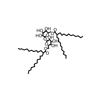 CCCCCCCCCCCC(CCCCCCCCCCC)C(=O)OCC1O[C@H](O[C@H]2OC(COC(=O)C(CCCCCCCCCCC)CCCCCCCCCCC)[C@@H](O)[C@H](O)C2O)C(O)[C@@H](O)[C@@H]1O